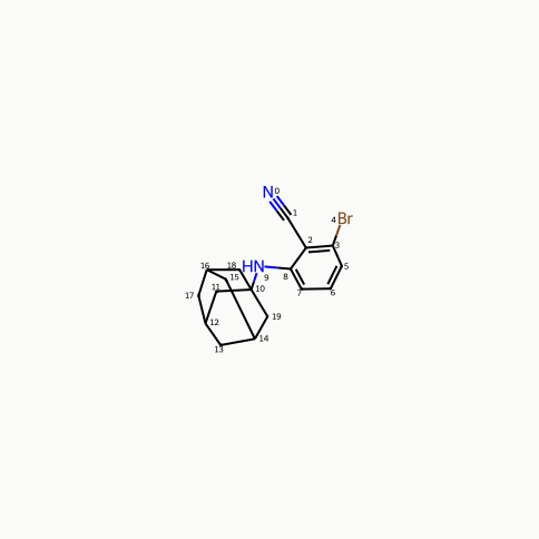 N#Cc1c(Br)cccc1NC12CC3CC(CC(C3)C1)C2